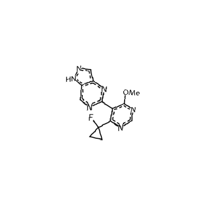 COc1ncnc(C2(F)CC2)c1-c1ncc2[nH]ncc2n1